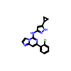 Clc1ccccc1-c1cc2nccn2c(Nc2cc(C3CC3)[nH]n2)n1